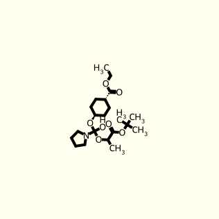 CCOC(=O)[C@H]1CC[C@H](OC(O)(OC(C)C(=O)OC(C)(C)C)N2CCCC2)CC1